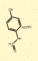 Cl.Cl.N#Cc1ccc(N[PH2]=O)cc1